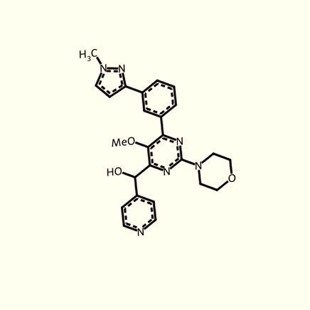 COc1c(-c2cccc(-c3ccn(C)n3)c2)nc(N2CCOCC2)nc1C(O)c1ccncc1